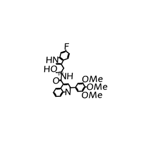 COc1cc(-c2cc(C(=O)N[C@@H](CO)Cc3c[nH]c4cc(F)ccc34)c3ccccc3n2)cc(OC)c1OC